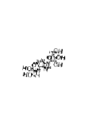 O=C(O)[C@@H](CO)Nc1ncnc2c1ncn2C1OC(CO)C(O)C1O